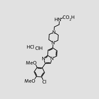 COc1cc(OC)c(-c2cn3ccc(N4CCN(CCNC(=O)O)CC4)cc3n2)cc1Cl.Cl.Cl